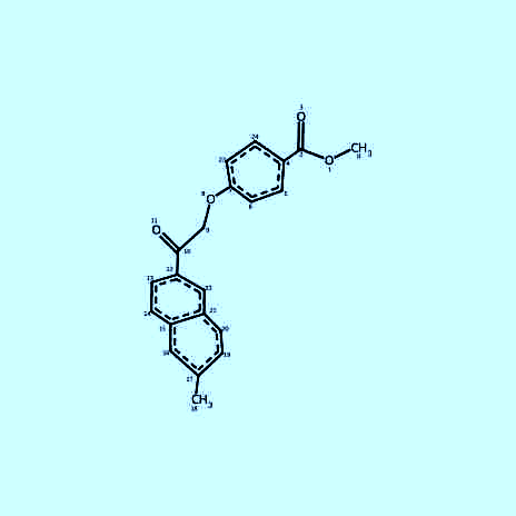 COC(=O)c1ccc(OCC(=O)c2ccc3cc(C)ccc3c2)cc1